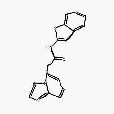 O=C(Cc1cccc2nccn12)Nc1cc2ccccc2s1